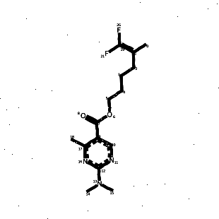 CC(CCCCOC(=O)c1cnc(N(C)C)nc1C)=C(F)F